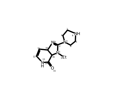 CCN1C(N2CCNCC2)=NC2C=CNC(=O)C21